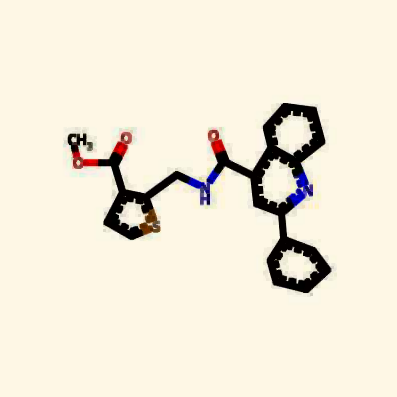 COC(=O)c1ccsc1CNC(=O)c1cc(-c2ccccc2)nc2ccccc12